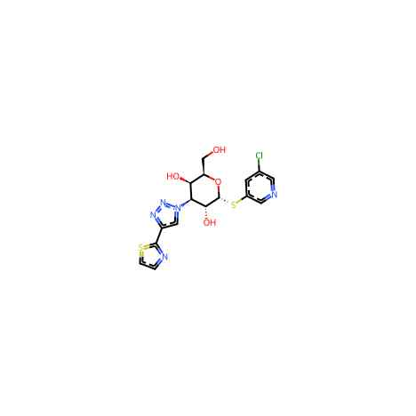 OC[C@H]1O[C@H](Sc2cncc(Cl)c2)[C@H](O)[C@@H](n2cc(-c3nccs3)nn2)[C@H]1O